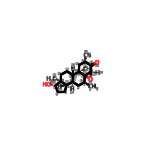 C[C@H]1C[C@H]2[C@@H]3CC[C@H](O)[C@@]3(C)CC[C@@H]2[C@@]2(C)C[C@@H](C#N)C(=O)[C@H]3O[C@@]312